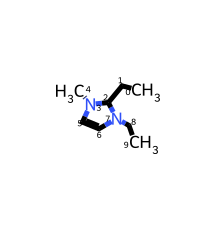 CCC1N(C)C=CN1CC